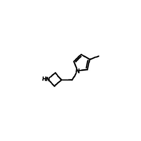 Cc1ccn(CC2CNC2)c1